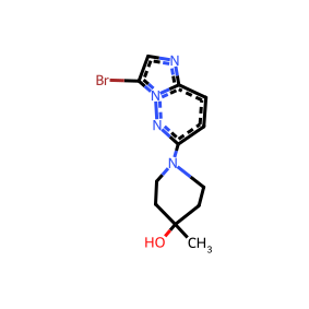 CC1(O)CCN(c2ccc3ncc(Br)n3n2)CC1